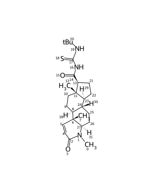 CN1C(=O)C=C[C@]2(C)[C@H]3CC[C@]4(C)[C@@H](C(=O)NC(=S)NC(C)(C)C)CC[C@H]4[C@@H]3CC[C@@H]12